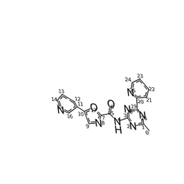 Cc1nc(NC(=O)c2ncc(-c3cccnc3)o2)nc(-c2ccccn2)n1